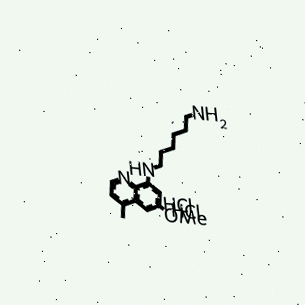 COc1cc(NCCCCCCN)c2nccc(C)c2c1.Cl.Cl